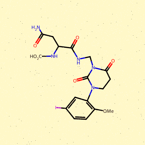 COc1ccc(I)cc1N1CCC(=O)N(CNC(=O)C(CC(N)=O)NC(=O)O)C1=O